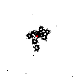 CC1(C)c2ccccc2N(c2ccc(-c3ccccc3)cc2)c2ccc(-c3cccc4c3C(c3ccccc3)(c3ccccc3)c3ccccc3-4)cc21